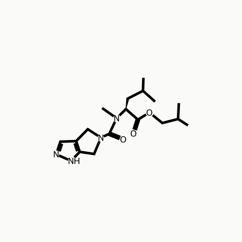 CC(C)COC(=O)[C@H](CC(C)C)N(C)C(=O)N1Cc2cn[nH]c2C1